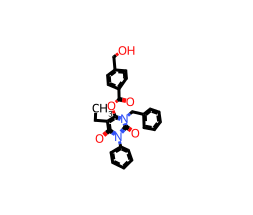 CCc1c(OC(=O)c2ccc(CO)cc2)n(Cc2ccccc2)c(=O)n(-c2ccccc2)c1=O